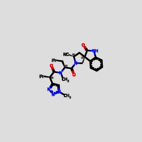 CC(C)C[C@@H](C(=O)N1C[C@]2(C[C@H]1C#N)C(=O)Nc1ccccc12)N(C)C(=O)[C@@H](c1cn(C)nn1)C(C)C